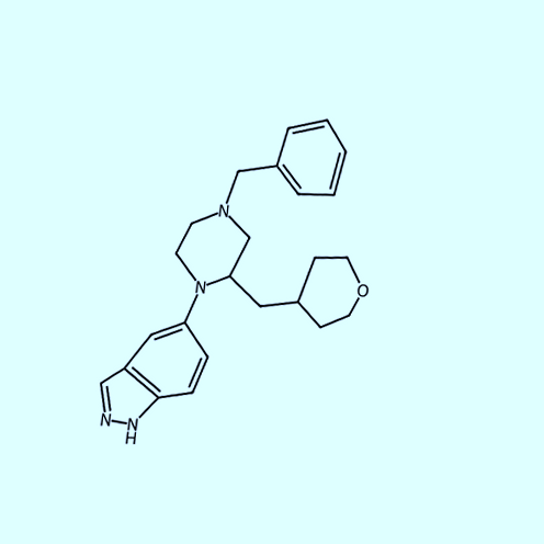 c1ccc(CN2CCN(c3ccc4[nH]ncc4c3)C(CC3CCOCC3)C2)cc1